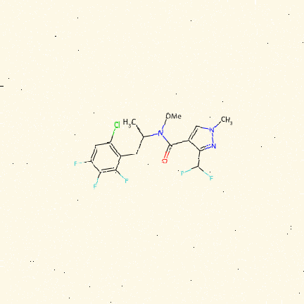 CON(C(=O)c1cn(C)nc1C(F)F)C(C)Cc1c(Cl)cc(F)c(F)c1F